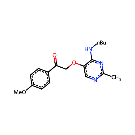 CCCCNc1nc(C)ncc1OCC(=O)c1ccc(OC)cc1